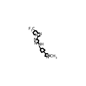 Cn1cc(-c2ccc(CNc3cc(-c4cnc5cc(C(F)(F)F)ccn45)ncn3)cc2)cn1